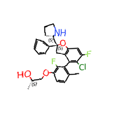 Cc1ccc(OC[C@H](C)O)c(F)c1-c1c(Cl)c(F)cc2c1C[C@](c1ccccc1)([C@@H]1CCCN1)O2